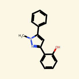 Cn1nc(-c2ccccc2O)cc1-c1ccccc1